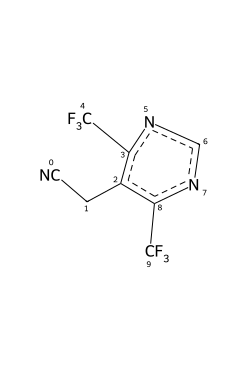 N#CCc1c(C(F)(F)F)ncnc1C(F)(F)F